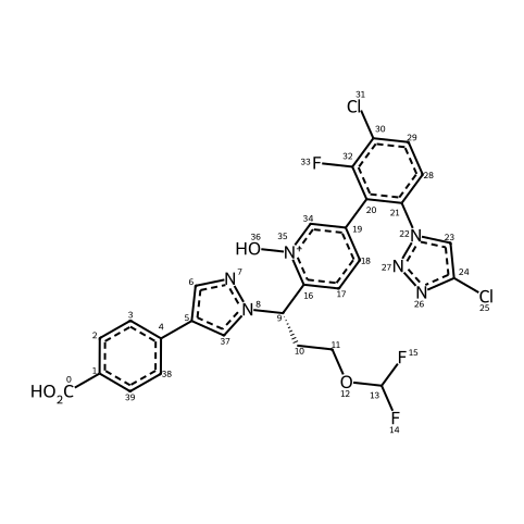 O=C(O)c1ccc(-c2cnn([C@@H](CCOC(F)F)c3ccc(-c4c(-n5cc(Cl)nn5)ccc(Cl)c4F)c[n+]3O)c2)cc1